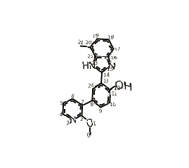 COc1ncccc1-c1ccc(O)c(-c2nc3cccc(C)c3[nH]2)c1